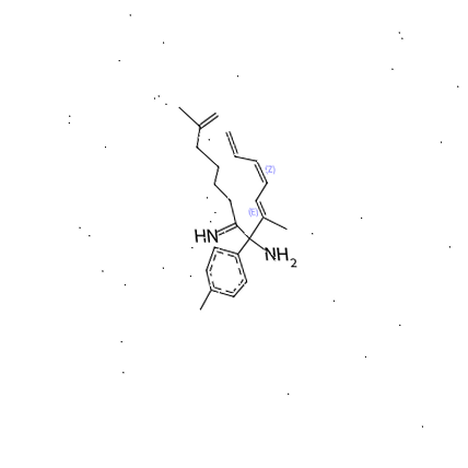 C=C/C=C\C=C(/C)C(N)(C(=N)CCCCC(=C)C)c1ccc(C)cc1